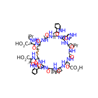 CC(C)CN[C@@H](CC(=O)O)C(=O)N[C@H]1CSSC[C@@H](C(=O)N[C@H](C(=O)O)[C@@H](C)O)NC(=O)[C@H](Cc2c[nH]c3ccccc23)NC(=O)[C@H](C(C)C)NC(=O)[C@H](CC(C)C)NC(=O)[C@H](CCC(=O)O)NC(=O)CNC(=O)[C@H](CC(C)C)NC(=O)[C@H](Cc2c[nH]cn2)NC(=O)[C@H](Cc2c[nH]c3ccccc23)NC(=O)[C@H](C)NC1=O